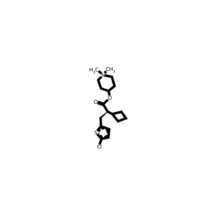 C[N+]1(C)CCC(OC(=O)[C@H](Cc2ccc(Cl)s2)C2CCC2)CC1